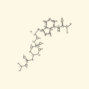 CC(C)OC(=O)CC1COP(=O)(CO[C@H](C)Cn2cnc3c(NC(=O)C(C)C)ncnc32)OC1